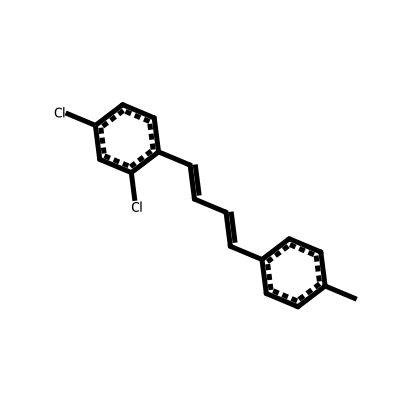 Cc1ccc(C=CC=Cc2ccc(Cl)cc2Cl)cc1